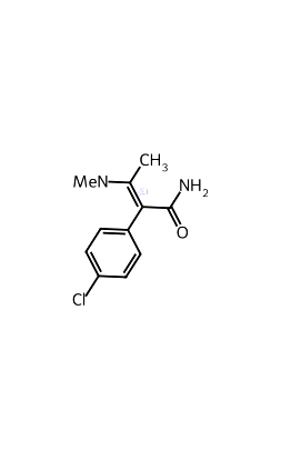 CN/C(C)=C(/C(N)=O)c1ccc(Cl)cc1